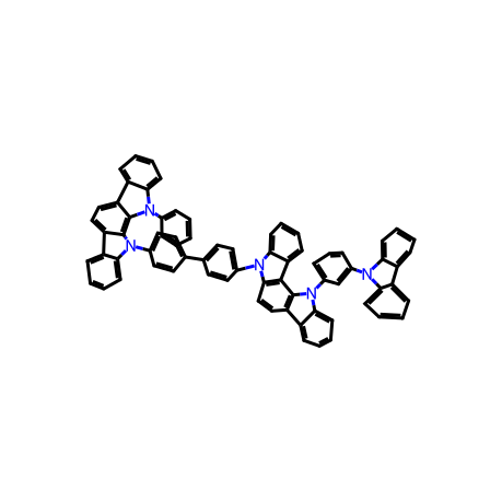 c1ccc(-n2c3ccccc3c3ccc4c5ccccc5n(-c5ccc(-c6ccc(-n7c8ccccc8c8c7ccc7c9ccccc9n(-c9cccc(-n%10c%11ccccc%11c%11ccccc%11%10)c9)c78)cc6)cc5)c4c32)cc1